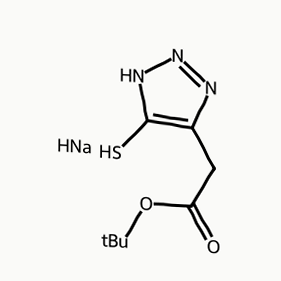 CC(C)(C)OC(=O)Cc1nn[nH]c1S.[NaH]